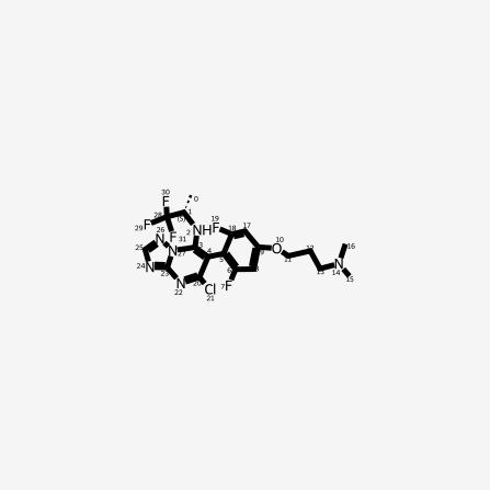 C[C@H](Nc1c(-c2c(F)cc(OCCCN(C)C)cc2F)c(Cl)nc2ncnn12)C(F)(F)F